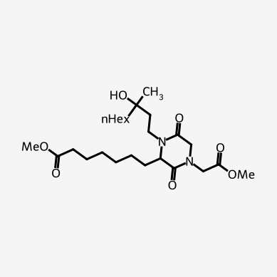 CCCCCCC(C)(O)CCN1C(=O)CN(CC(=O)OC)C(=O)C1CCCCCCC(=O)OC